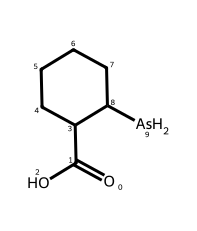 O=C(O)C1CCCCC1[AsH2]